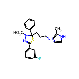 Cc1ccc[nH]1.NCCCC1(c2ccccc2)SC(c2cccc(F)c2)=NN1C(=O)O